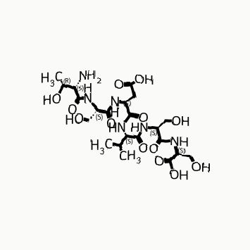 CC(C)[C@H](NC(=O)[C@H](CC(=O)O)NC(=O)[C@H](CO)NC(=O)[C@@H](N)[C@@H](C)O)C(=O)N[C@@H](CO)C(=O)N[C@@H](CO)C(=O)O